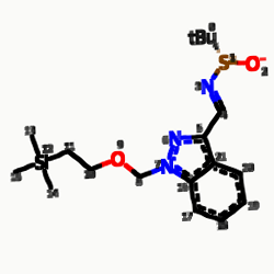 CC(C)(C)[S@+]([O-])/N=C/c1nn(COCC[Si](C)(C)C)c2ccccc12